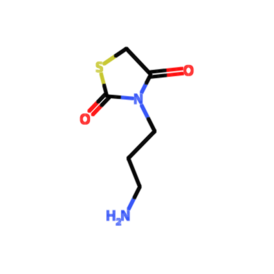 NCCCN1C(=O)CSC1=O